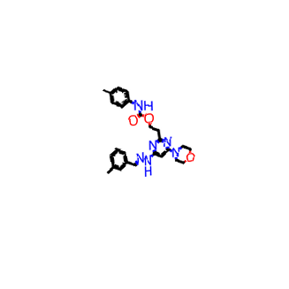 Cc1ccc(NC(=O)OCCc2nc(NN=Cc3cccc(C)c3)cc(N3CCOCC3)n2)cc1